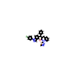 O=C(Nc1nncs1)C(Cc1ccccc1)C(c1ccccc1)c1ccc2c(cnn2-c2ccc(F)cc2)c1